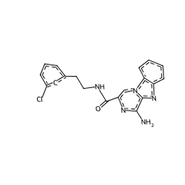 Nc1nc(C(=O)NCCc2cccc(Cl)c2)cn2c1nc1ccccc12